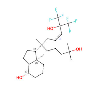 CC(C)(O)CCCC(C)(C/C=C\C(O)(C(F)(F)F)C(F)(F)F)[C@H]1CCC2[C@@H](O)CCC[C@@]21C